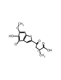 COc1cc2sc(C(=O)C[C@H](C)C(=O)O)cc2c(Cl)c1O